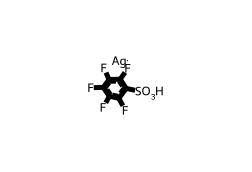 O=S(=O)(O)c1c(F)c(F)c(F)c(F)c1F.[Ag]